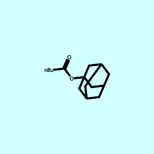 CC[CH]CC(=O)OC12CC3CC(CC(C3)C1)C2